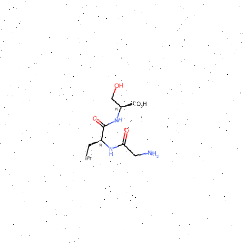 CC(C)C[C@H](NC(=O)CN)C(=O)N[C@@H](CO)C(=O)O